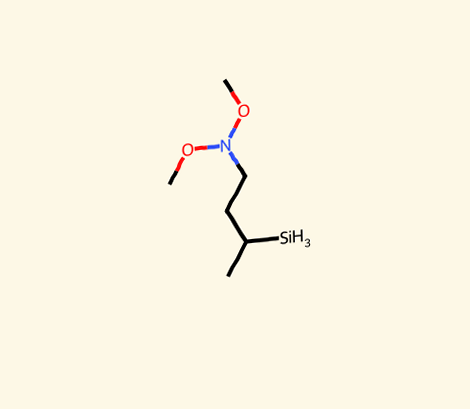 CON(CCC(C)[SiH3])OC